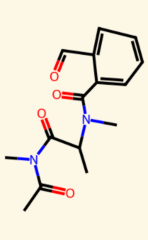 CC(=O)N(C)C(=O)C(C)N(C)C(=O)c1ccccc1C=O